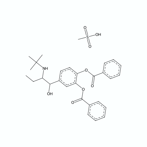 CCC(NC(C)(C)C)C(O)c1ccc(OC(=O)c2ccccc2)c(OC(=O)c2ccccc2)c1.CS(=O)(=O)O